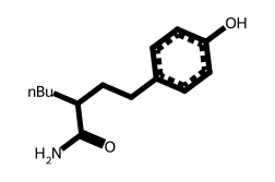 CCCCC(CCc1ccc(O)cc1)C(N)=O